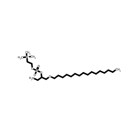 CCCCCCCCCCCCCCCCOCC(CN)OP(=O)([O-])OCC[N+](C)(C)C